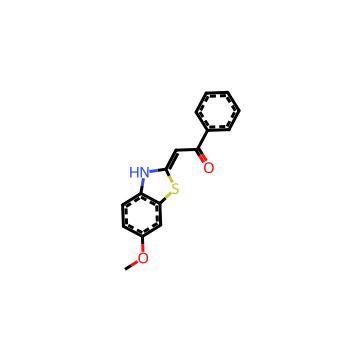 COc1ccc2c(c1)SC(=CC(=O)c1ccccc1)N2